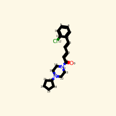 O=C(C=CC=Cc1ccccc1Cl)N1CCN(C2CCCC2)CC1